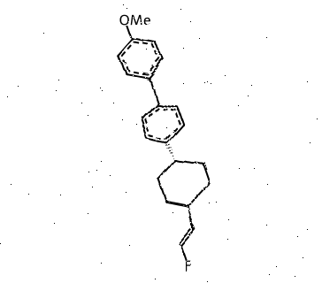 COc1ccc(-c2ccc([C@H]3CC[C@H](C=CF)CC3)cc2)cc1